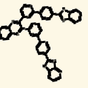 c1cc(-c2ccc(-c3nc4ccccc4o3)cc2)cc(-c2nc3ccccc3nc2-c2cccc(-c3ccc(-c4nc5ccccc5o4)cc3)c2)c1